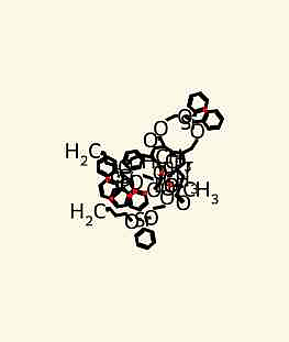 C=CCCO[Si](OCCOC(=O)C(C)(CC)CC(C)(CC1CCO[Si](c2ccccc2)(c2ccccc2)OCCOC(=O)C(C)(CC2CCO[Si](c3ccccc3)(c3ccccc3)OCCOC(=O)C(C)(CCC)C2)C1)C(=O)OCCO[Si](OCCC=C)(c1ccccc1)c1ccccc1)(c1ccccc1)c1ccccc1